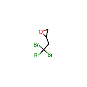 BrC(Br)(Br)CC1CO1